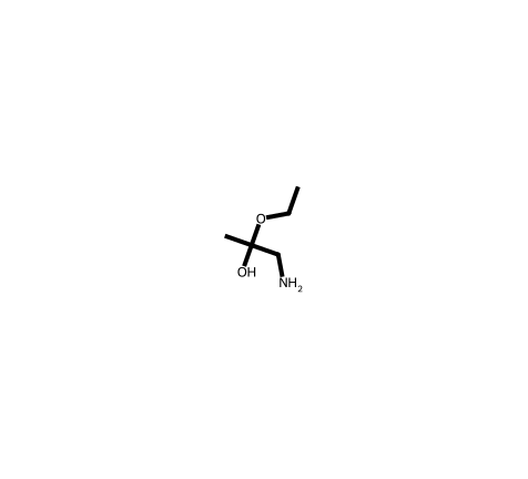 CCOC(C)(O)CN